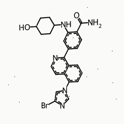 NC(=O)c1ccc(-c2nccc3c(-n4cnc(Br)c4)cccc23)cc1NC1CCC(O)CC1